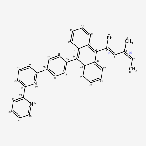 C/C=C(C)\C=C(/CC)C1=c2ccccc2=C(c2ccc(-c3cccc(-c4ccccn4)n3)cc2)C2CC=CC=C12